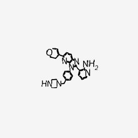 Nc1ncccc1-c1nc2ccc(C3=CCOCC3)nc2n1-c1ccc(CN2CCNCC2)cc1